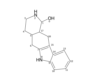 OC1NCCC2Cc3[nH]c4ccccc4c3CC21